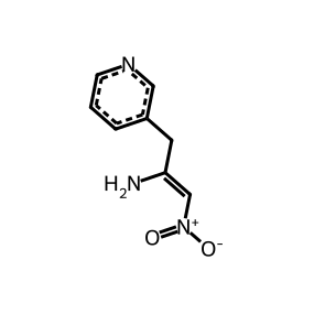 NC(=C[N+](=O)[O-])Cc1cccnc1